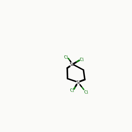 Cl[Si]1(Cl)CC[Si](Cl)(Cl)CC1